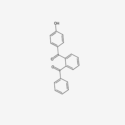 O=C(c1ccccc1)c1ccccc1C(=O)c1ccc(O)cc1